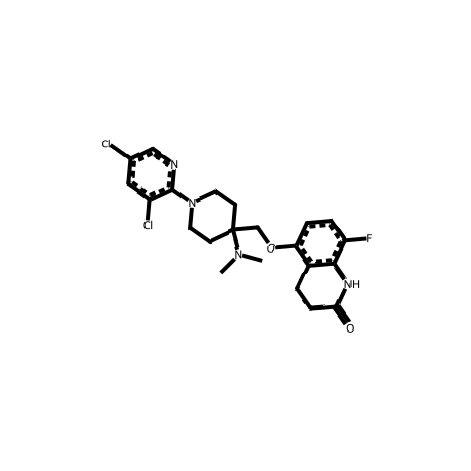 CN(C)C1(COc2ccc(F)c3c2CCC(=O)N3)CCN(c2ncc(Cl)cc2Cl)CC1